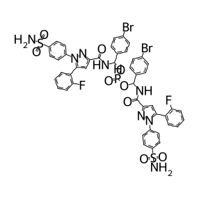 NS(=O)(=O)c1ccc(-n2nc(C(=O)NC(O[PH](=O)OC(NC(=O)c3cc(-c4ccccc4F)n(-c4ccc(S(N)(=O)=O)cc4)n3)c3ccc(Br)cc3)c3ccc(Br)cc3)cc2-c2ccccc2F)cc1